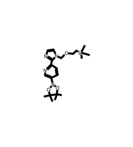 CC1(C)OB(c2ccc(-c3nccn3COCC[Si](C)(C)C)nc2)OC1(C)C